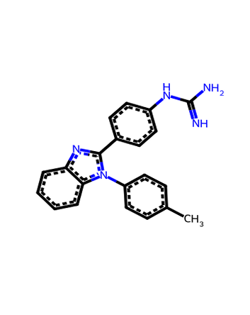 Cc1ccc(-n2c(-c3ccc(NC(=N)N)cc3)nc3ccccc32)cc1